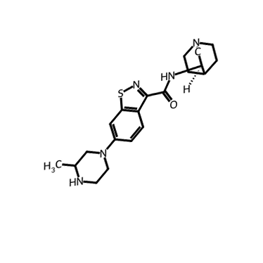 CC1CN(c2ccc3c(C(=O)N[C@H]4CN5CCC4CC5)nsc3c2)CCN1